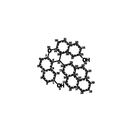 Oc1ccc2ccc3c(c2c1)C(c1cc2ccc4cccc5ccc(c1)c2c45)c1c(ccc2ccc(O)cc12)O3